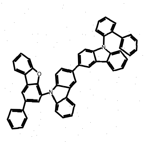 c1ccc(-c2cc(-n3c4ccccc4c4cc(-c5ccc6c(c5)c5ccccc5n6-c5ccccc5-c5ccccc5)ccc43)c3oc4ccccc4c3c2)cc1